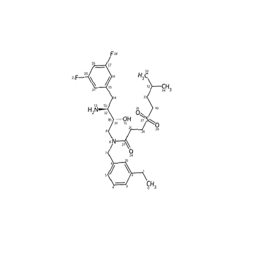 CCc1cccc(CN(C[C@@H](O)[C@@H](N)Cc2cc(F)cc(F)c2)C(=O)CCS(=O)(=O)CCC(C)C)c1